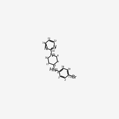 Brc1ccc(NC2CCN(c3ncccn3)CC2)cc1